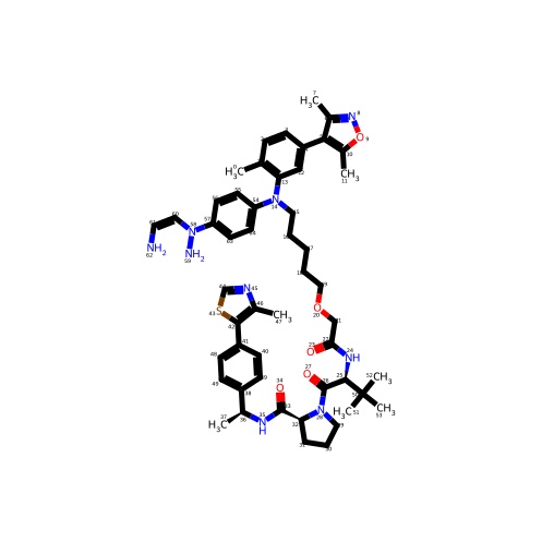 Cc1ccc(-c2c(C)noc2C)cc1N(CCCCCOCC(=O)N[C@H](C(=O)N1CCC[C@H]1C(=O)N[C@@H](C)c1ccc(-c2scnc2C)cc1)C(C)(C)C)c1ccc(N(N)/C=C\N)cc1